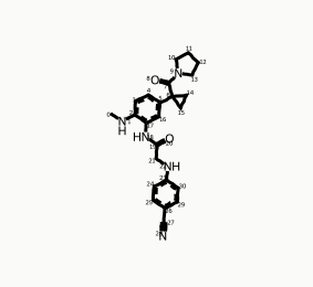 CNc1ccc(C2(C(=O)N3CCCC3)CC2)cc1NC(=O)CNc1ccc(C#N)cc1